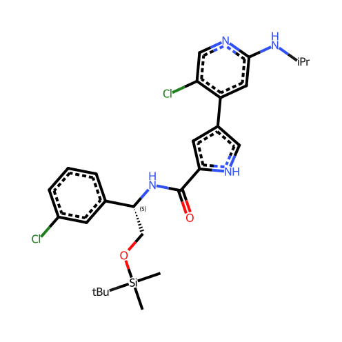 CC(C)Nc1cc(-c2c[nH]c(C(=O)N[C@H](CO[Si](C)(C)C(C)(C)C)c3cccc(Cl)c3)c2)c(Cl)cn1